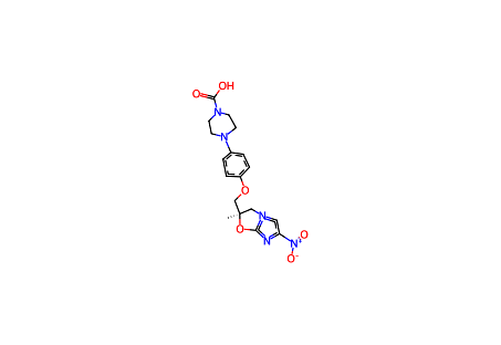 C[C@]1(COc2ccc(N3CCN(C(=O)O)CC3)cc2)Cn2cc([N+](=O)[O-])nc2O1